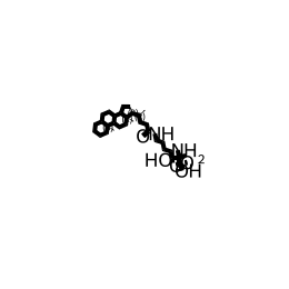 C[C@H](CCC(=O)NCCCCC(C)(O)C(C)(N)S(=O)(=O)O)[C@H]1CCC2C3CCC4CCCC[C@]4(C)C3CC[C@@]21C